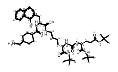 CC(C)(C)OC(=O)CC[C@H](NC(=O)N[C@@H](CCCCNC(=O)[C@H](Cc1ccc2ccccc2c1Br)NC(=O)C1CCC(CN)CC1)C(=O)OC(C)(C)C)C(=O)OC(C)(C)C